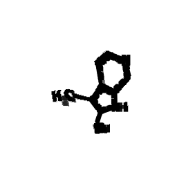 Cc1c(C(C)(C)C)[nH]c2cnccc12